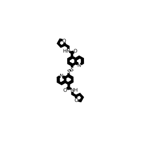 O=C(NCC1CCCO1)c1ccc(SSc2ccc(C(=O)NCC3CCCO3)c3cccnc23)c2ncccc12